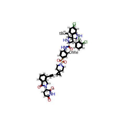 COc1cc(S(=O)(=O)N2CCC3(CC2)C[C@@H]3C#Cc2cccc3c2CN([C@H]2CCC(=O)NC2=O)C3=O)ccc1NC(=O)[C@@H]1N[C@@H](CC(C)(C)C)[C@@]2(CNc3cc(Cl)ccc32)[C@H]1c1cccc(Cl)c1F